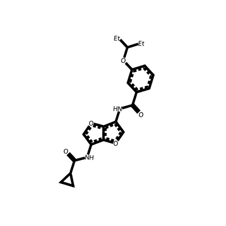 CCC(CC)Oc1cccc(C(=O)Nc2coc3c(NC(=O)C4CC4)coc23)c1